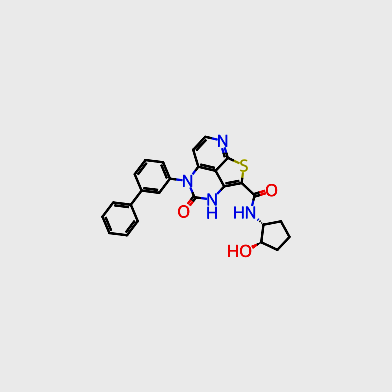 O=C(N[C@@H]1CCC[C@H]1O)c1sc2nccc3c2c1NC(=O)N3c1cccc(-c2ccccc2)c1